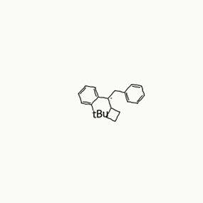 CC(C)(C)c1ccccc1[C](Cc1ccccc1)C1CCC1